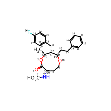 C[C@@H]1OC(=O)[C@@H](NC(=O)O)CCO[C@H](CCc2ccccc2)[C@H]1Cc1ccc(F)cc1